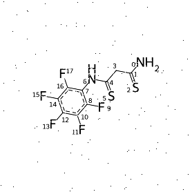 NC(=S)CC(=S)Nc1c(F)c(F)c(F)c(F)c1F